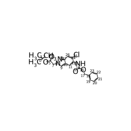 CC(C)(C)OC(=O)Cn1cc2cc(NC(=O)OCc3ccccc3)c(Cl)cc2n1